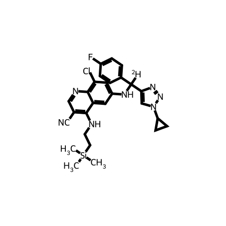 [2H]C(Nc1cc(Cl)c2ncc(C#N)c(NCC[Si](C)(C)C)c2c1)(c1ccc(F)cc1)c1cn(C2CC2)nn1